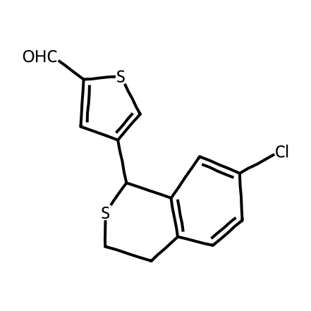 O=Cc1cc(C2SCCc3ccc(Cl)cc32)cs1